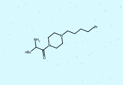 CCCCC(N)C(=O)N1CCN(CCCCC(C)C)CC1